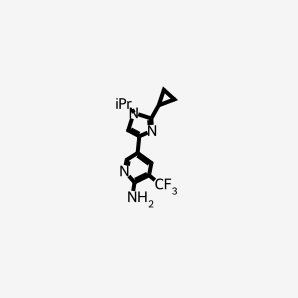 CC(C)n1cc(-c2cnc(N)c(C(F)(F)F)c2)nc1C1CC1